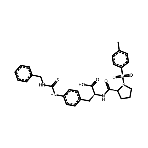 Cc1ccc(S(=O)(=O)N2CCC[C@H]2C(=O)N[C@@H](Cc2ccc(NC(=S)NCc3ccccc3)cc2)C(=O)O)cc1